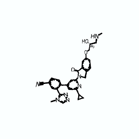 CNC[C@@H](O)COc1ccc2c(c1)C(=O)N(c1cc(-c3ccc(C#N)cc3-c3nncn3C)cc(C3CC3)n1)C2